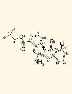 CC(C)COC(=O)c1cccc(-n2c([C@H](C)N)cc3cccc(Cl)c3c2=O)c1